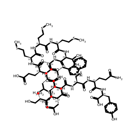 CSCC[C@H](NC(=O)[C@H](CCC(=O)O)NC(=O)[C@H](Cc1c[nH]c2ccccc12)NC(=O)[C@H](CC(C)C)NC(=O)[C@H](CC(=O)O)NC(=O)[C@@H](N)CO)C(=O)N[C@@H](CCSC)C(=O)N[C@@H](CCSC)C(=O)N[C@H](C(=O)N[C@@H](CO)C(=O)N[C@@H](CC(C)C)C(=O)N[C@@H](C)C(=O)N[C@@H](CS)C(=O)N[C@@H](CCC(N)=O)C(=O)N[C@@H](Cc1ccc(O)cc1)C(=O)O)C(C)C